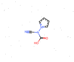 N#CN(C(=O)O)n1cccc1